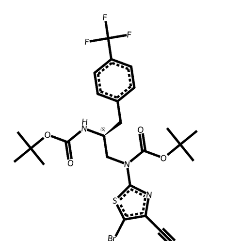 CC(C)(C)OC(=O)N[C@@H](Cc1ccc(C(F)(F)F)cc1)CN(C(=O)OC(C)(C)C)c1nc(C#N)c(Br)s1